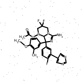 COc1ccc(C2(c3ccc(F)c(-c4cncnc4)c3)N=C(N)N3CC(F)(F)CN(OC(C)=O)C32)cc1C